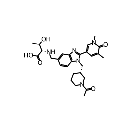 CC(=O)N1CCC[C@H](Cn2c(-c3cc(C)c(=O)n(C)c3)nc3cc(CN[C@H](C(=O)O)[C@@H](C)O)ccc32)C1